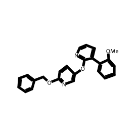 COc1ccccc1-c1cccnc1Oc1ccc(OCc2ccccc2)nc1